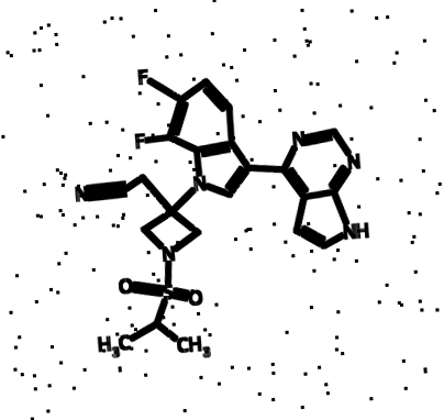 CC(C)S(=O)(=O)N1CC(CC#N)(n2cc(-c3ncnc4[nH]ccc34)c3ccc(F)c(F)c32)C1